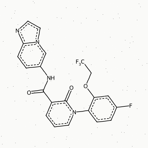 O=C(Nc1ccc2nccn2c1)c1cccn(-c2ccc(F)cc2OCC(F)(F)F)c1=O